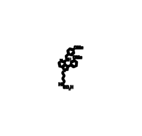 COc1ccc(CNc2nccc3c2c(-c2cccc(OC)c2)cn3CCCCNC(=O)O)cc1